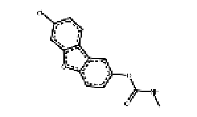 CNC(=O)Oc1ccc2oc3cc(Cl)ccc3c2c1